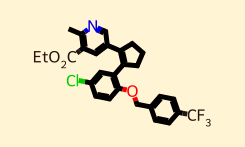 CCOC(=O)c1cc(C2=C(c3cc(Cl)ccc3OCc3ccc(C(F)(F)F)cc3)CCC2)cnc1C